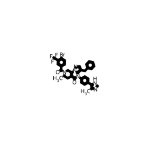 Cc1nc[nH]c1-c1ccc(-n2c(=O)c3c(n4ncc(Cc5ccccc5)c24)CN(C(=O)c2ccc(Br)c(C(F)(F)F)c2)[C@@H](C)C3)cc1